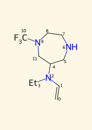 C=CN(CC)C1CNCCN(C(F)(F)F)C1